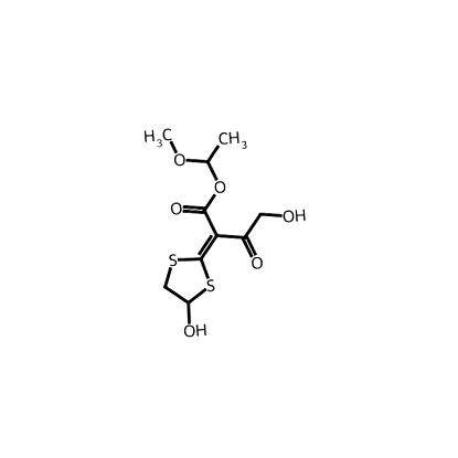 COC(C)OC(=O)C(C(=O)CO)=C1SCC(O)S1